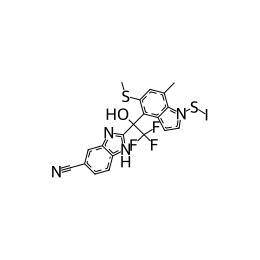 CSc1cc(C)c2c(ccn2SI)c1C(O)(c1nc2cc(C#N)ccc2[nH]1)C(F)(F)F